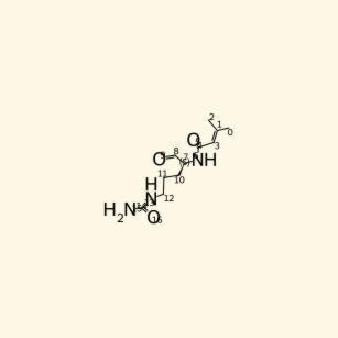 CC(C)=CC(=O)N[C@H](C=O)CCCNC(N)=O